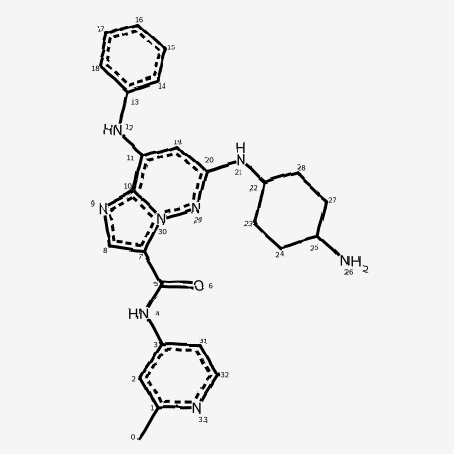 Cc1cc(NC(=O)c2cnc3c(Nc4ccccc4)cc(NC4CCC(N)CC4)nn23)ccn1